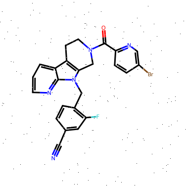 N#Cc1ccc(Cn2c3c(c4cccnc42)CCN(C(=O)c2ccc(Br)cn2)C3)c(F)c1